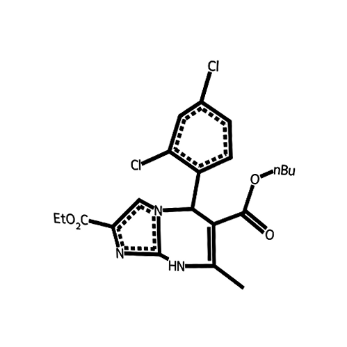 CCCCOC(=O)C1=C(C)Nc2nc(C(=O)OCC)cn2C1c1ccc(Cl)cc1Cl